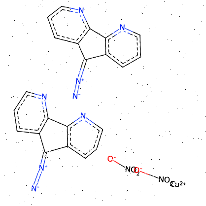 O=[N+]([O-])[O-].O=[N+]([O-])[O-].[Cu+2].[N-]=[N+]=C1c2cccnc2-c2ncccc21.[N-]=[N+]=C1c2cccnc2-c2ncccc21